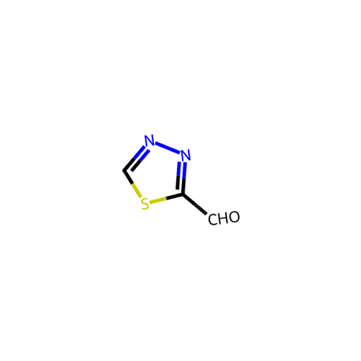 O=Cc1nncs1